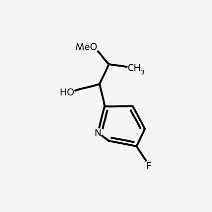 COC(C)C(O)c1ccc(F)cn1